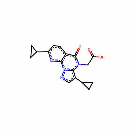 O=C(O)Cn1c(=O)c2ccc(C3CC3)nc2n2ncc(C3CC3)c12